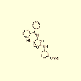 COc1cccc(NC(=O)NC2N=C(c3ccccc3)c3ccccc3NC2=O)c1